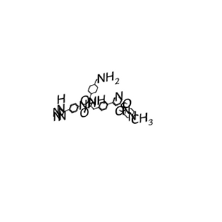 CN1CCN(S(=O)(=O)c2cncc(-c3ccc(C[C@H](NC(=O)C4CCC(CN)CC4)C(=O)Nc4ccc(-c5nnn[nH]5)cc4)cc3)c2)CC1